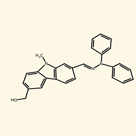 Cn1c2ccc(CO)cc2c2ccc(C=NN(c3ccccc3)c3ccccc3)cc21